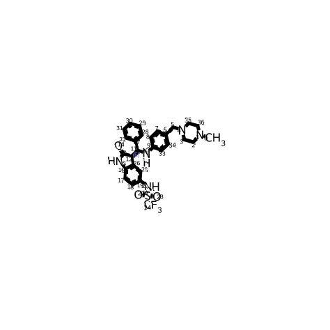 CN1CCN(Cc2ccc(N/C(=C3/C(=O)Nc4ccc(NS(=O)(=O)C(F)(F)F)cc43)c3ccccc3)cc2)CC1